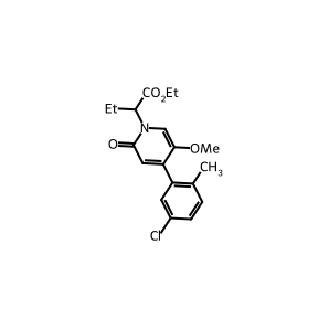 CCOC(=O)C(CC)n1cc(OC)c(-c2cc(Cl)ccc2C)cc1=O